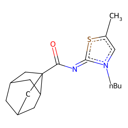 CCCCn1cc(C)sc1=NC(=O)C12CC3CC(CC1C3)C2